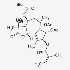 C/C=C(/C)C(=O)O[C@H]1C(C)=C2C([C@@H]1OC(C)=O)[C@@](C)(OC(C)=O)C[C@H](OC(=O)[C@@H](C)CC)[C@@]1(O)[C@H]2OC(=O)[C@@]1(C)O